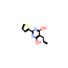 C=CCc1c(O)nc(-c2cccs2)nc1O